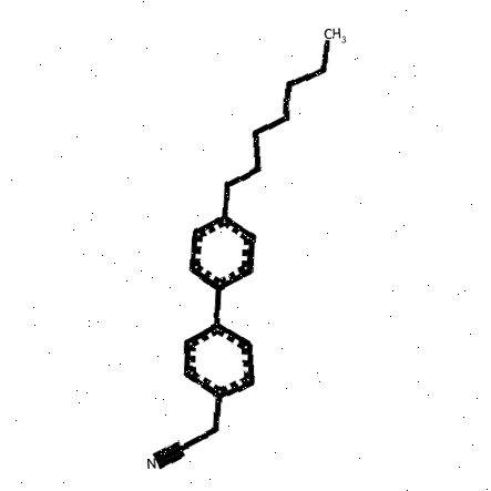 CCCCCCCc1ccc(-c2ccc(CC#N)cc2)cc1